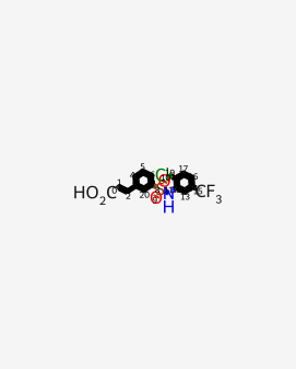 O=C(O)/C=C/c1cccc(S(=O)(=O)Nc2cc(C(F)(F)F)ccc2Cl)c1